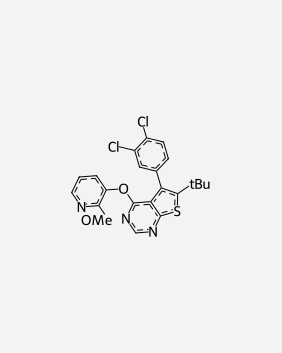 COc1ncccc1Oc1ncnc2sc(C(C)(C)C)c(-c3ccc(Cl)c(Cl)c3)c12